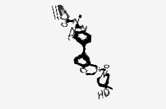 CN(C(=O)O)c1nc2ccc(-c3ccc4c(c3)CN(C(=O)N3CCC(C)(O)CC3)CCO4)cc2[nH]1